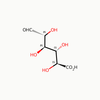 O=C[C@H](O)[C@H](O)[C@H](O)[C@H](O)C(=O)O